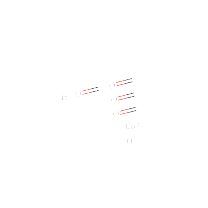 [C]=O.[C]=O.[C]=O.[C]=O.[Co+2].[H-].[H-]